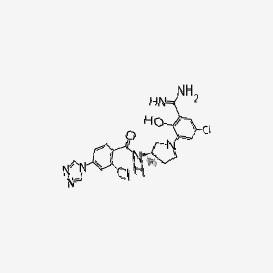 N=C(N)c1cc(Cl)cc(N2CC[C@@H](NC(=O)c3ccc(-n4cnnc4)cc3Cl)C2)c1O